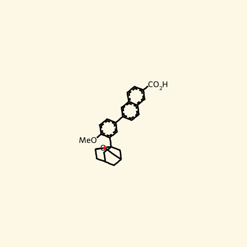 COc1ccc(-c2ccc3cc(C(=O)O)ccc3c2)cc1C12CC3CC(CC(C3)O1)C2